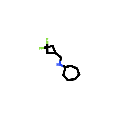 FC1(F)CC(CNC2CCCCCC2)C1